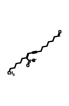 CCCCCCC(=CC#CCCCCCC[C]=O)[N+](=O)[O-]